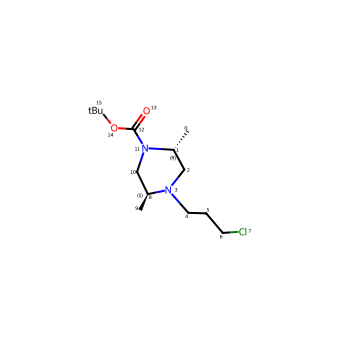 C[C@@H]1CN(CCCCl)[C@@H](C)CN1C(=O)OC(C)(C)C